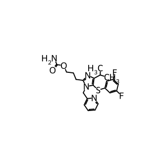 CC(C)c1nc(CCCOC(N)=O)n(Cc2ccccn2)c1Sc1cc(F)cc(F)c1